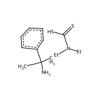 CC(C)(N)c1ccccc1.CCN(CC)C(=S)S